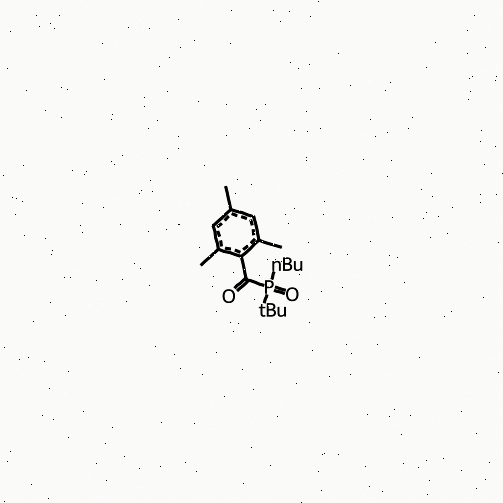 CCCCP(=O)(C(=O)c1c(C)cc(C)cc1C)C(C)(C)C